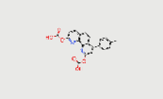 Cc1ccc(-c2cc(OC(=O)O)nc3c2ccc2ccc(OC(=O)O)nc23)cc1